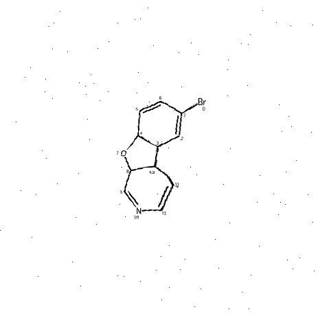 BrC1=CC2C(C=C1)OC1C=NC=CC12